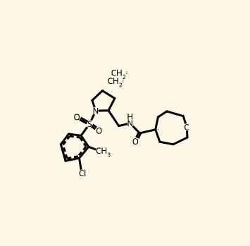 Cc1c(Cl)cccc1S(=O)(=O)N1CCCC1CNC(=O)[C]1CCCCCCC1.[CH2].[CH2]